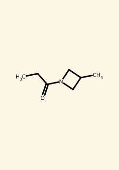 CCC(=O)N1CC(C)C1